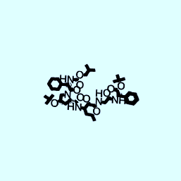 CCCC(NC(=O)[C@@H]1C[C@@H](OC(C)(C)C)CN1C(=O)[C@@H](NC(=O)OCC(C)C)C1CCCCC1)C(=O)C(=O)NCC(=O)N[C@H](C(=O)OC(C)(C)C)c1ccccc1